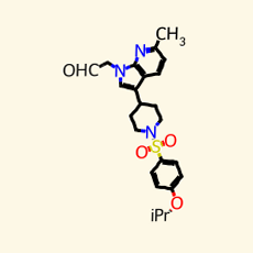 Cc1ccc2c(C3CCN(S(=O)(=O)c4ccc(OC(C)C)cc4)CC3)cn(CC=O)c2n1